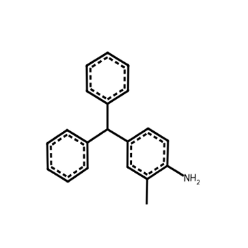 Cc1cc(C(c2ccccc2)c2ccccc2)ccc1N